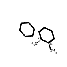 C1CCCCC1.N[C@@H]1CCCC[C@H]1N